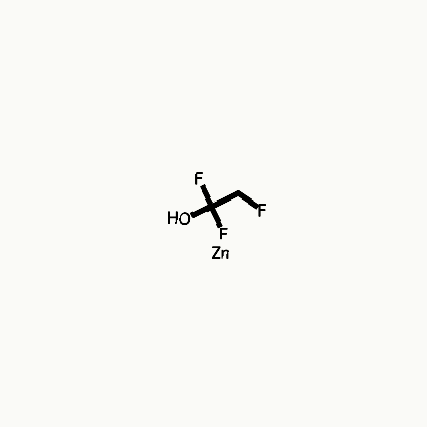 OC(F)(F)CF.[Zn]